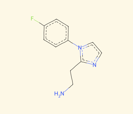 NCCc1nccn1-c1ccc(F)cc1